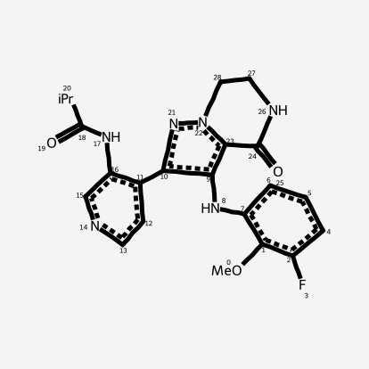 COc1c(F)cccc1Nc1c(-c2ccncc2NC(=O)C(C)C)nn2c1C(=O)NCC2